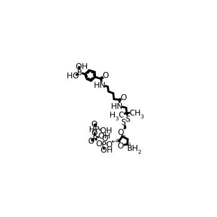 B[C@H]1C[C@@H](OCSSC(C)(C)CNC(=O)CCCCNC(=O)c2ccc(B(O)O)cc2)[C@@H](COP(=O)(O)OP(=O)(O)O[PH](=O)O)O1